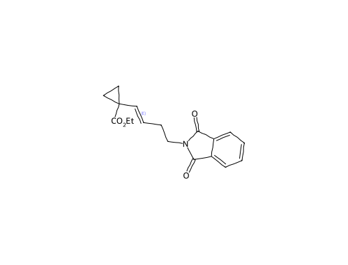 CCOC(=O)C1(/C=C/CCN2C(=O)c3ccccc3C2=O)CC1